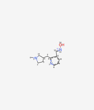 CN1CCC(Cc2ncccc2/C=N/O)C1